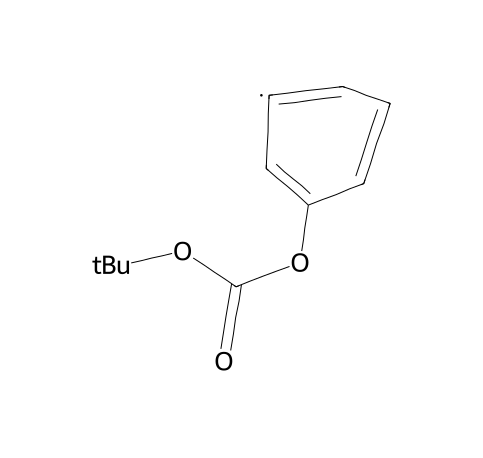 CC(C)(C)OC(=O)Oc1c[c]ccc1